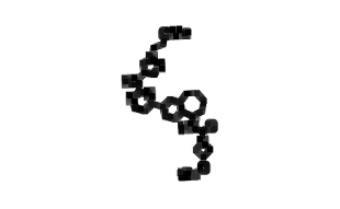 COCCn1cc(Nc2nccc(-c3ccc4c(c3)CCCC[C@H]4NC(=O)N3CC(OC(C)(C)C)C3)n2)cn1